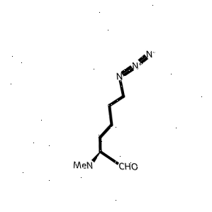 CN[C@H](C=O)CCCCN=[N+]=[N-]